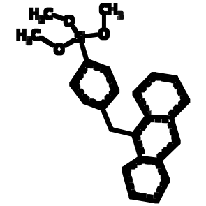 CO[Si](OC)(OC)c1ccc(Cc2c3ccccc3cc3ccccc23)cc1